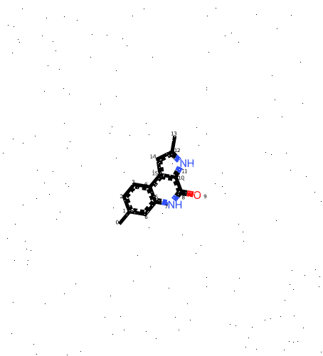 Cc1ccc2c(c1)[nH]c(=O)c1[nH]c(C)cc12